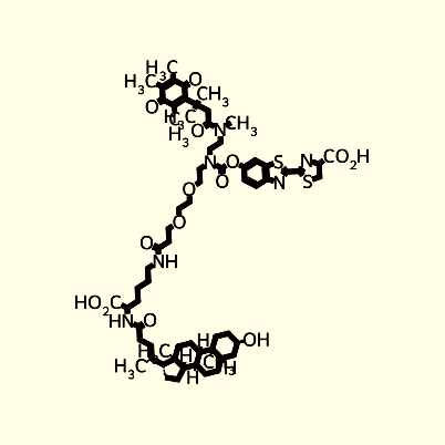 CC1=C(C)C(=O)C(C(C)(C)CC(=O)N(C)CCN(CCOCCOCCC(=O)NCCCCC(NC(=O)CC[C@@H](C)[C@H]2CC[C@H]3[C@@H]4CC[C@@H]5C[C@H](O)CC[C@]5(C)[C@H]4CC[C@]23C)C(=O)O)C(=O)Oc2ccc3nc(C4=NC(C(=O)O)CS4)sc3c2)=C(C)C1=O